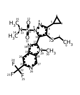 CCSc1c(C2CC2)nn(S(=O)(=O)N(C)C)c1-c1nc2cc(C(F)(F)F)ncc2n1C